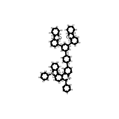 c1ccc(-c2nc3ccc(-c4ccc(-c5cc(-c6cccc7c6oc6ccccc67)cc(-c6cccc7c6oc6ccccc67)c5)cc4)cc3c3c2ccc2c3c3ccccc3n2-c2ccccc2)cc1